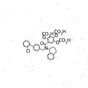 O=C(O)Oc1cc(OC(=O)O)c(C(=O)N(Cc2ccc(-c3ccccc3Cl)cc2)[C@H]2CCCc3ccccc32)cc1OC(=O)O